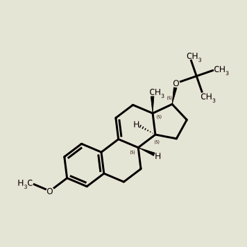 COc1ccc2c(c1)CC[C@@H]1C2=CC[C@]2(C)[C@@H](OC(C)(C)C)CC[C@@H]12